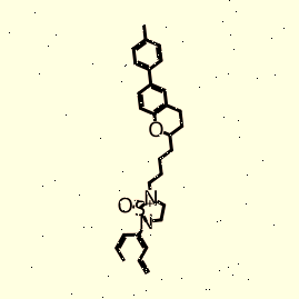 C=C/C=C(\C=C/C)N1CCN(CCCCC2CCc3cc(-c4ccc(C)cc4)ccc3O2)[S+]1[O-]